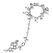 C/C=C(\C)[C@H]1OC(=O)[C@@H](C)NC(=O)C(C(C)CC)NC(=O)CN(C)C(=O)[C@@H](Cc2ccccc2)N(C)C(=O)[C@H](C)NC(=O)[C@@H](CC(C)C)OC(=O)/C(C)=C/C[C@H](OC(=O)NCCCOCCOCCOCCCNC(=O)OCc2ccc(NOC[C@H]3O[C@@H](n4ccc(N)nc4=O)[C@H](O)[C@@H]3O[PH](=O)O)cc2)[C@@H]1C